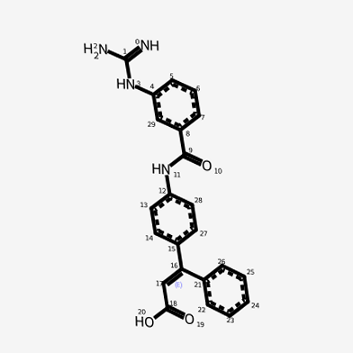 N=C(N)Nc1cccc(C(=O)Nc2ccc(/C(=C/C(=O)O)c3ccccc3)cc2)c1